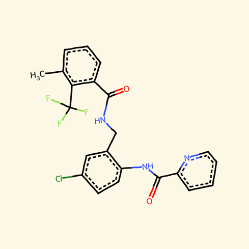 Cc1cccc(C(=O)NCc2cc(Cl)ccc2NC(=O)c2ccccn2)c1C(F)(F)F